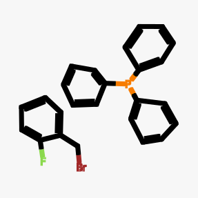 Fc1ccccc1CBr.c1ccc(P(c2ccccc2)c2ccccc2)cc1